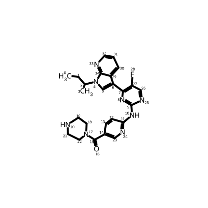 CCC(C)n1cc(-c2nc(Nc3ccc(C(=O)N4CCNCC4)cn3)ncc2F)c2cccnc21